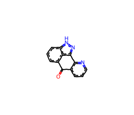 O=C1c2cccnc2-c2n[nH]c3cccc1c23